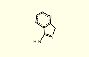 NC1=NCc2ncccc21